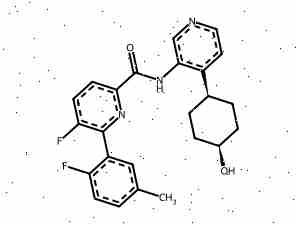 Cc1ccc(F)c(-c2nc(C(=O)Nc3cnccc3[C@H]3CC[C@@H](O)CC3)ccc2F)c1